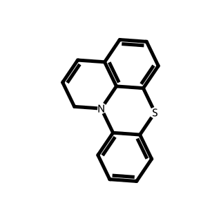 C1=Cc2cccc3c2N(C1)c1ccccc1S3